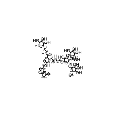 C[C@@H]1O[C@@H](OCCNC(=O)CN(CC(=O)NCCO[C@H]2O[C@H](COC3O[C@H](CO)[C@@H](O)[C@H](O)[C@@H]3O)[C@@H](O)[C@H](O[C@H]3O[C@H](CO)[C@@H](O)[C@H](O)[C@@H]3O)[C@@H]2O)CC(=O)NCC(=O)ON2C(=O)CCC2=O)[C@@H](O)[C@H](O)[C@@H]1O